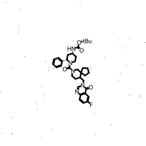 CC(C)(C)OC(=O)N[C@@H]1CCN(C(=O)N2CCC(Cn3cnc4ccc(F)cc4c3=O)C3(CCCC3)C2)[C@H](c2ccccc2)C1